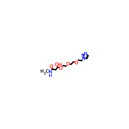 CNC(=O)CC(O)OCCOCCOCCn1ccnn1